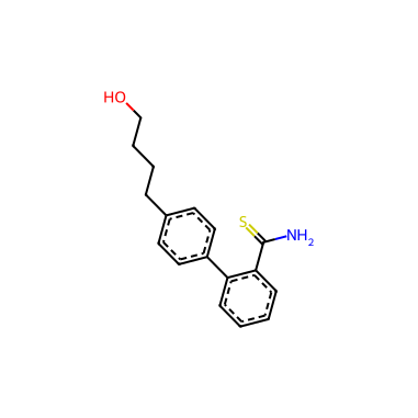 NC(=S)c1ccccc1-c1ccc(CCCCO)cc1